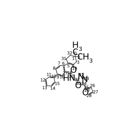 CC1(C)CC=C(c2ccc(-c3ccccc3)cc2C(=O)Nc2nnc(-c3ccco3)o2)CC1